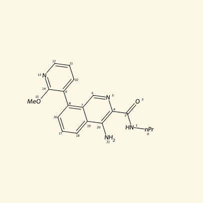 CCCNC(=O)c1ncc2c(-c3cccnc3OC)cccc2c1N